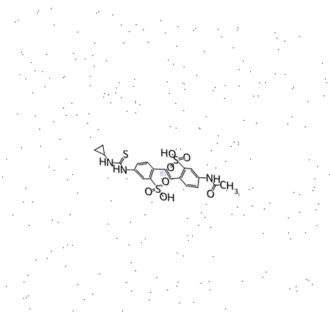 CC(=O)Nc1ccc(/C=C/c2ccc(NC(=S)NC3CC3)cc2S(=O)(=O)O)c(S(=O)(=O)O)c1